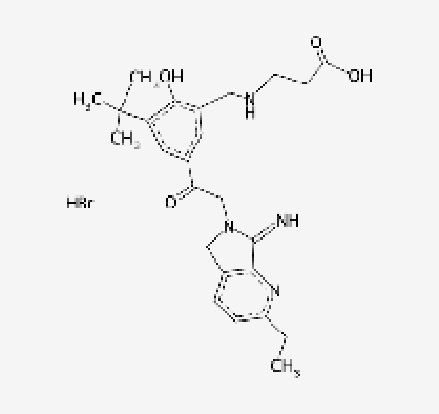 Br.CCc1ccc2c(n1)C(=N)N(CC(=O)c1cc(CNCCC(=O)O)c(O)c(C(C)(C)C)c1)C2